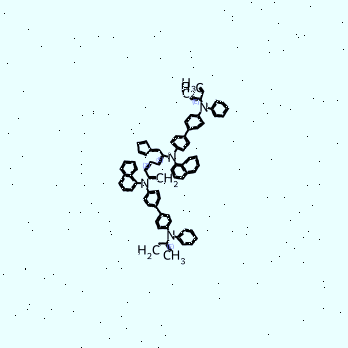 C=C/C(=C\C)N(c1ccccc1)c1ccc(-c2ccc(N(C(=C)/C=C\C=C(/C=C3C=CC=C3)N(c3ccc(-c4ccc(N(/C(C=C)=C/C)c5ccccc5)cc4)cc3)c3cccc4ccccc34)c3cccc4ccccc34)cc2)cc1